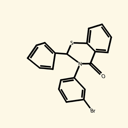 O=C1c2ccccc2SC(c2ccccc2)N1c1cccc(Br)c1